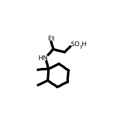 CCC(CS(=O)(=O)O)NC1(C)CCCCC1C